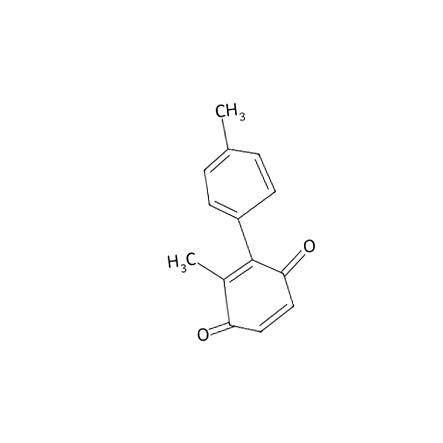 CC1=C(c2ccc(C)cc2)C(=O)C=CC1=O